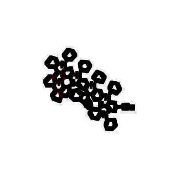 CC(C)(C)c1cc2c3c(c1)N(c1ccccc1)c1cc4c(cc1B3c1ccccc1N2c1ccccc1)C1(c2ccccc2-c2ccccc21)c1cc2c(cc1N4c1ccccc1)N(c1ccccc1)c1cc(N(c3ccccc3)c3ccccc3-c3ccccc3)cc3c1B2c1ccccc1N3c1ccccc1-c1ccccc1